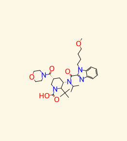 COCCCCn1c(C(=O)N(C(C)C)[C@H]2C[C@@H](C(=O)N3CCOCC3)CN(C(=O)O)C2C(C)(C)C)nc2ccccc21